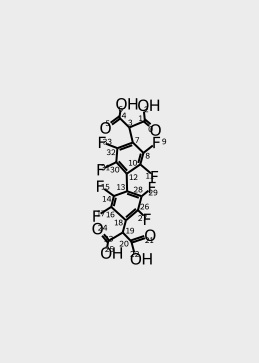 O=C(O)C(C(=O)O)c1c(F)c(F)c(-c2c(F)c(F)c(C(C(=O)O)C(=O)O)c(F)c2F)c(F)c1F